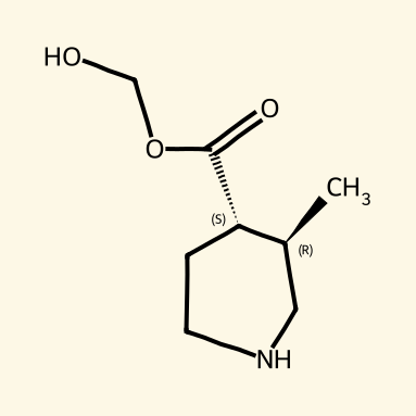 C[C@H]1CNCC[C@@H]1C(=O)OCO